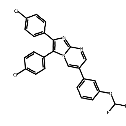 FC(F)Oc1cccc(-c2cnc3nc(-c4ccc(Cl)cc4)c(-c4ccc(Cl)cc4)n3c2)c1